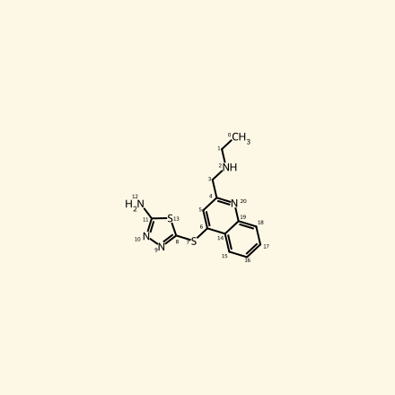 CCNCc1cc(Sc2nnc(N)s2)c2ccccc2n1